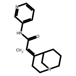 O=C(C=C1CCN2CCCC1C2)Nc1cccnc1.[CH2]